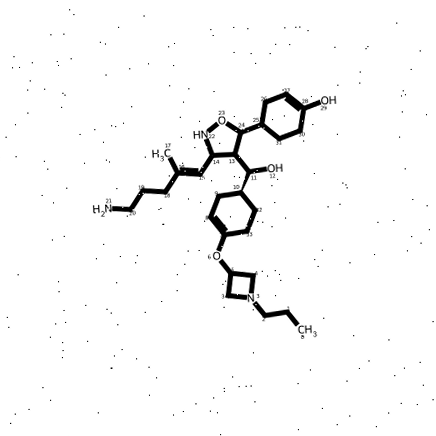 CCCN1CC(OC2=CC[C@@H](C(O)C3C(/C=C(\C)CCCN)NOC3C3CC=C(O)CC3)CC2)C1